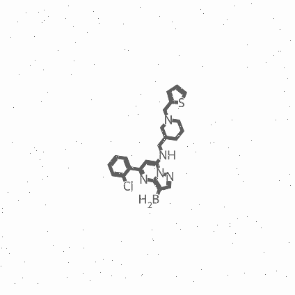 Bc1cnn2c(NCC3CCCN(Cc4cccs4)C3)cc(-c3ccccc3Cl)nc12